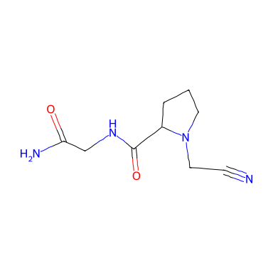 N#CCN1CCCC1C(=O)NCC(N)=O